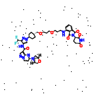 O=C1CCC(N2C(=O)c3cccc(NCCCOCCCOC[C@H]4CC[C@H](n5cc(NC(=O)c6cnn7ccc(N8C[C@H]9C[C@@H]8CO9)nc67)c(C(F)F)n5)CC4)c3C2=O)C(=O)N1